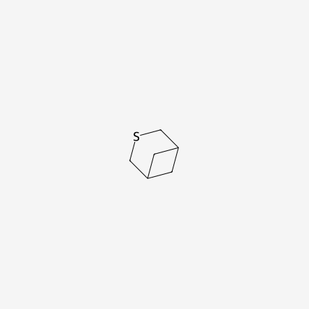 C1SCC2CC1C2